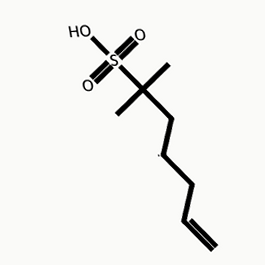 C=CC[CH]CC(C)(C)S(=O)(=O)O